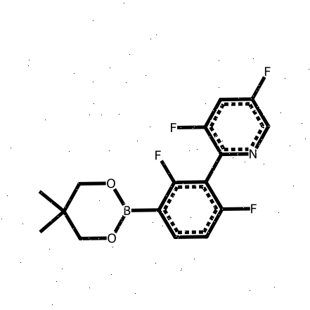 CC1(C)COB(c2ccc(F)c(-c3ncc(F)cc3F)c2F)OC1